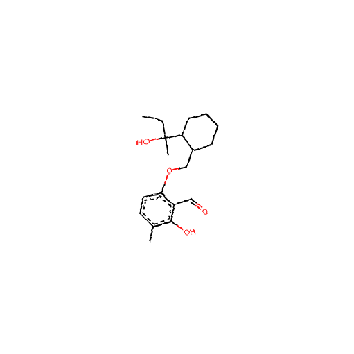 CCC(C)(O)C1CCCCC1COc1ccc(C)c(O)c1C=O